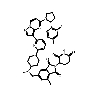 CN(Cc1cc(F)c2c(c1)C(=O)N(C1CCC(=O)NC1=O)C2=O)C1CCN(c2cccc(-c3cnn4ccc(N5CCC[C@@H]5c5ccc(F)cc5F)nc34)n2)CC1